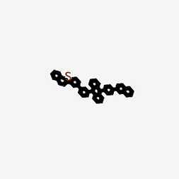 c1cc(-c2ccc3sc4c5ccccc5ccc4c3c2)cc(-c2c3ccccc3c(-c3ccc(-c4ccc5ccccc5c4)cc3)c3ccccc23)c1